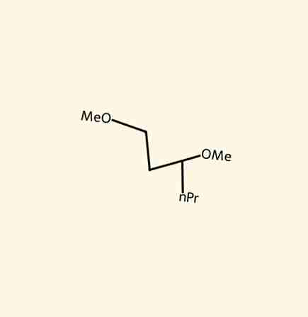 CCCC(CCOC)OC